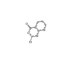 CCc1nc2ncccc2c(=O)o1